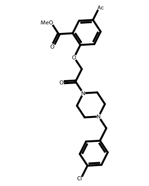 COC(=O)c1cc(C(C)=O)ccc1OCC(=O)N1CCN(Cc2ccc(Cl)cc2)CC1